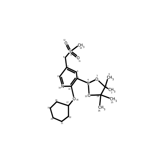 CC1(C)OB(c2cc(CS(C)(=O)=O)cnc2OC2CCCCC2)OC1(C)C